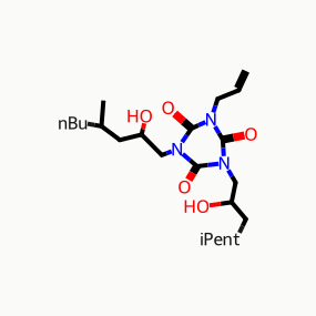 C=CCn1c(=O)n(CC(O)CC(C)CCC)c(=O)n(CC(O)CC(C)CCCC)c1=O